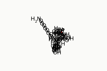 CC(=O)N[C@@H](CC(=O)O)C(=O)N[C@@H](CS)C(=O)N[C@@H](C)C(=O)N[C@@H](Cc1c[nH]c2ccccc12)C(=O)N[C@@H](CC(=O)NCc1ccc(OC(=O)CCOCCOCCOCCOCCOCCOCCN)c(F)c1)C(=O)N[C@@H](CC(C)C)C(=O)NCC(=O)N[C@@H](CCC(=O)O)C(=O)N[C@@H](CC(C)C)C(=O)N[C@H](C(=O)N[C@@H](Cc1c[nH]c2ccccc12)C(=O)N[C@@H](CS)C(=O)N[C@H](C(=O)O)[C@@H](C)O)C(C)C